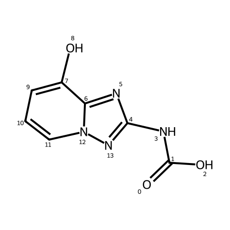 O=C(O)Nc1nc2c(O)cccn2n1